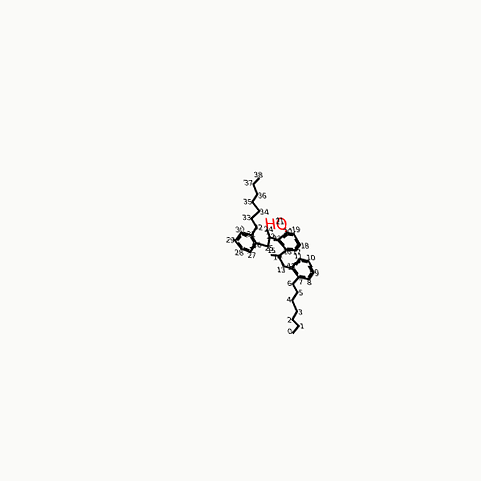 CCCCCCCc1ccccc1CC(C)c1cccc(O)c1C(C)Cc1ccccc1CCCCCCC